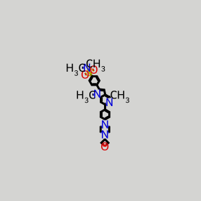 Cc1nc(-c2ccc(N3CCN(C4COC4)CC3)cc2)cc2c1cc(-c1ccc(S(=O)(=O)N(C)C)cc1)n2C